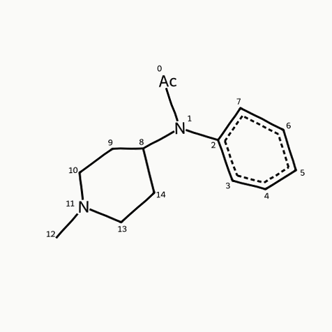 CC(=O)N(c1ccccc1)C1CCN(C)CC1